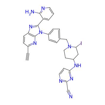 C#Cc1ccc2nc(-c3cccnc3N)n(-c3ccc(CN4CCC(Nc5ccnc(C#N)n5)CC4I)cc3)c2n1